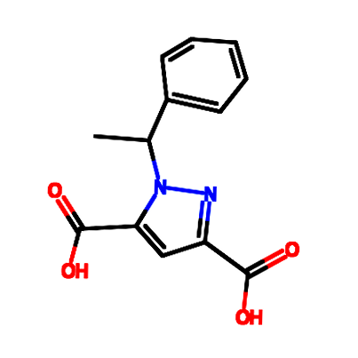 CC(c1ccccc1)n1nc(C(=O)O)cc1C(=O)O